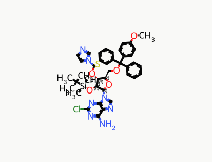 COc1ccc(C(OC[C@H]2O[C@@H](n3cnc4c(N)nc(Cl)nc43)[C@H](O[Si](C)(C)C(C)(C)C)[C@@H]2OC(=S)n2ccnc2)(c2ccccc2)c2ccccc2)cc1